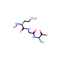 CCN[C@@H](CCC(=O)O)C(=O)NCC(=O)N[C@H](C)C(=O)CC